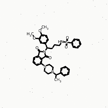 COc1ccc(C(CCCNS(=O)(=O)c2ccccc2)N2C(=O)c3cccc(N4CCN(C(C)c5ccccc5)CC4)c3C2=O)cc1OC